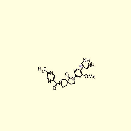 COc1cc(N2CCC3(CCN(C(=O)c4cnc(C)cn4)CC3)C2=O)ccc1/C(C=N)=C/N